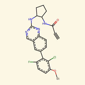 C#CC(=O)NC1CCCC1Nc1ncc2cc(-c3c(F)ccc(OCC)c3Cl)ccc2n1